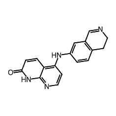 O=c1ccc2c(Nc3ccc4c(c3)C=NCC4)ccnc2[nH]1